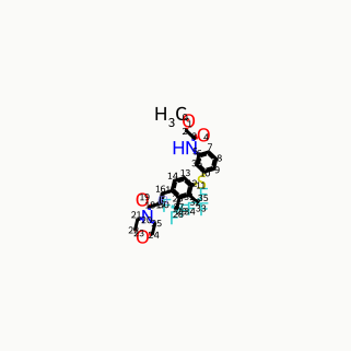 COCC(=O)Nc1cccc(Sc2ccc(/C=C/C(=O)N3CCOCC3)c(C(F)(F)F)c2C(F)(F)F)c1